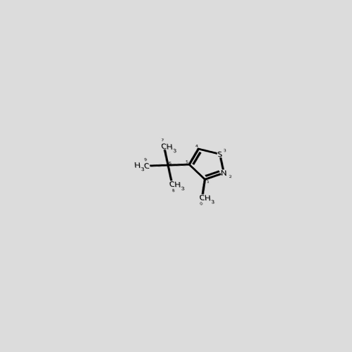 Cc1nscc1C(C)(C)C